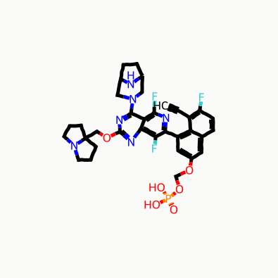 C#Cc1c(F)ccc2cc(OCOP(=O)(O)O)cc(-c3nc(F)c4c(N5CC6CCC(C5)N6)nc(OCC56CCCN5CCC6)nc4c3F)c12